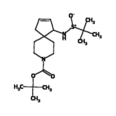 CC(C)(C)OC(=O)N1CCC2(CC=CC2N[S+]([O-])C(C)(C)C)CC1